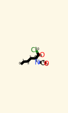 CCCCC(N=C=O)C(=O)Cl